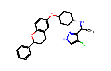 CC(N[C@H]1CC[C@H](Oc2ccc3c(c2)CCC(c2ccccc2)O3)CC1)c1n[nH]cc1Cl